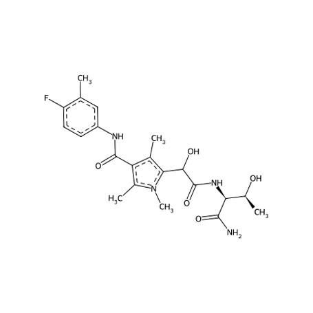 Cc1cc(NC(=O)c2c(C)c(C(O)C(=O)N[C@H](C(N)=O)[C@H](C)O)n(C)c2C)ccc1F